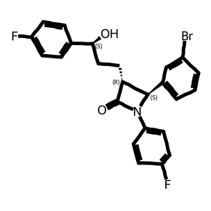 O=C1[C@H](CC[C@H](O)c2ccc(F)cc2)[C@@H](c2cccc(Br)c2)N1c1ccc(F)cc1